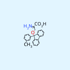 Cc1cccc(C2(OC[C@H](N)C(=O)O)c3ccccc3-c3ccccc32)c1